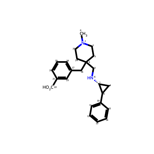 CN1CCC(CN[C@@H]2CC2c2ccccc2)(Cc2cccc(C(=O)O)c2)CC1